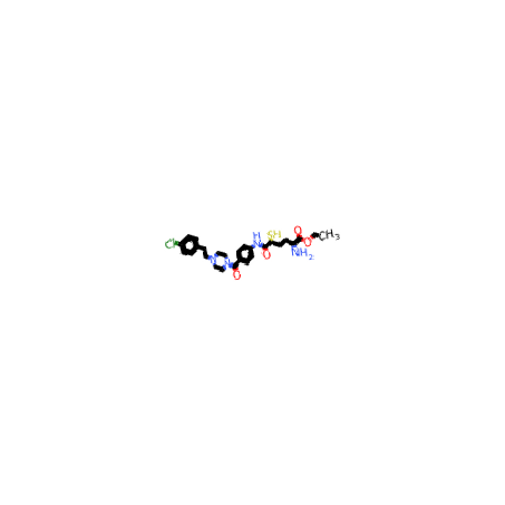 CCOC(=O)C(N)CCC(S)C(=O)Nc1ccc(C(=O)N2CCN(CCc3ccc(Cl)cc3)CC2)cc1